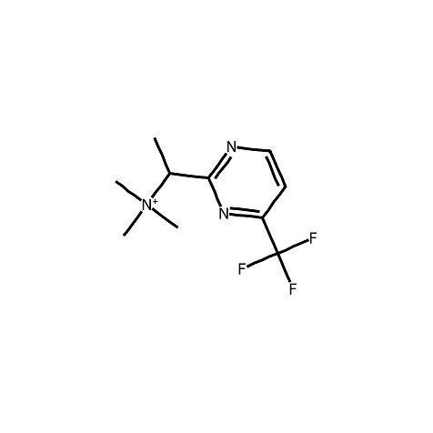 CC(c1nccc(C(F)(F)F)n1)[N+](C)(C)C